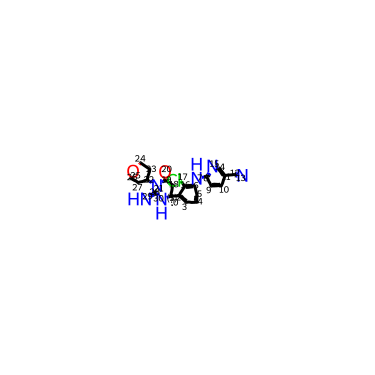 C[C@@]1(c2cccc(Nc3ccc(C#N)cn3)c2Cl)CC(=O)N(C2CCOCC2)C(=N)N1